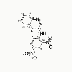 O=[N+]([O-])c1ccc(Nc2cnc3ccccc3c2)c([N+](=O)[O-])c1